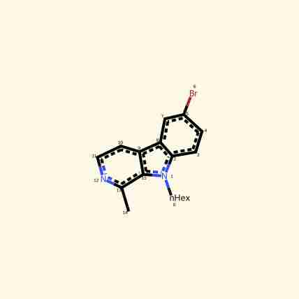 CCCCCCn1c2ccc(Br)cc2c2ccnc(C)c21